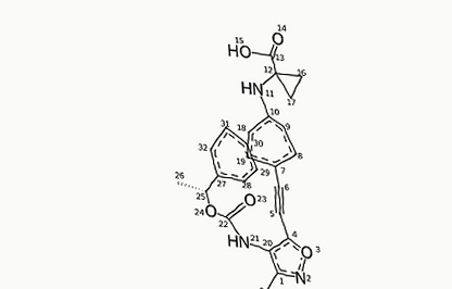 Cc1noc(C#Cc2ccc(NC3(C(=O)O)CC3)cc2)c1NC(=O)O[C@H](C)c1ccccc1